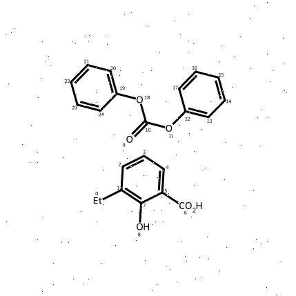 CCc1cccc(C(=O)O)c1O.O=C(Oc1ccccc1)Oc1ccccc1